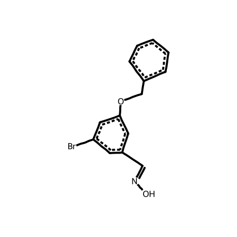 ON=Cc1cc(Br)cc(OCc2ccccc2)c1